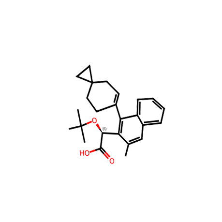 Cc1cc2ccccc2c(C2=CCC3(CC2)CC3)c1[C@H](OC(C)(C)C)C(=O)O